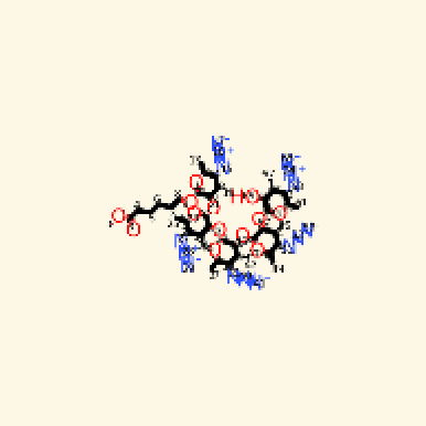 COC(=O)CCCCCO[C@H]1OC(C)[C@@H](N=[N+]=[N-])[C@H](C)C1O[C@H]1OC(C)[C@@H](N=[N+]=[N-])[C@H](C)C1O[C@H]1OC(C)[C@@H](N=[N+]=[N-])[C@H](C)C1O[C@H]1OC(C)[C@@H](N=[N+]=[N-])[C@H](C)C1O[C@H]1OC(C)[C@@H](N=[N+]=[N-])[C@H](C)C1O